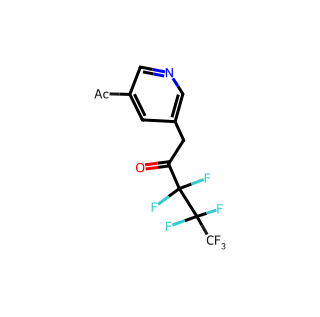 CC(=O)c1cncc(CC(=O)C(F)(F)C(F)(F)C(F)(F)F)c1